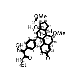 CCNC(=O)/C(=N/O)c1ccc([C@H]2C[C@]3(C)[C@H](COC)CC[C@H]3[C@H]3C2=C2CCC(=O)C=C2C[C@@H]3OC)cc1